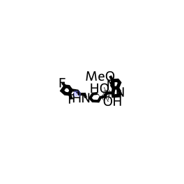 COc1ccc2nccc([C@@H](O)[C@H](O)[C@H]3CC[C@H](NC/C=C/c4cc(F)ccc4F)CC3)c2n1